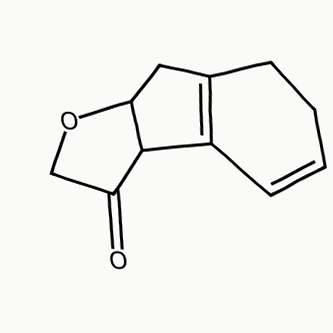 O=C1COC2CC3=C(C=CCC3)C12